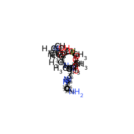 CCO[C@@H](O[C@@H]1[C@H](C)C(=O)C(C)(F)C(=O)O[C@H](CC)[C@@]2(C)OC(=O)N(CCCCn3cc(-c4cccc(N)c4)nn3)[C@@H]2[C@@H](C)N(C)C[C@H](C)C[C@@]1(C)OC)C(O)C(CC)N(C)C